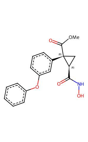 COC(=O)[C@]1(c2cccc(Oc3ccccc3)c2)C[C@H]1C(=O)NO